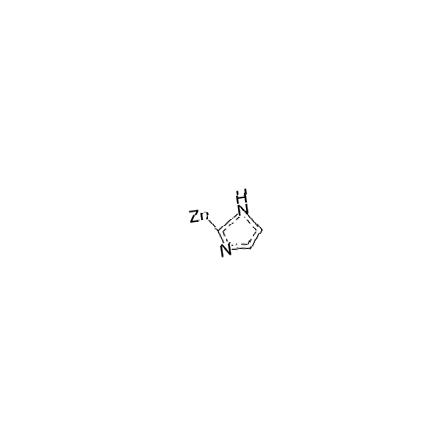 [Zn][c]1ncc[nH]1